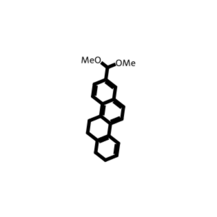 COC(OC)c1ccc2c3c(ccc2c1)C1=C(CCC=C1)CC3